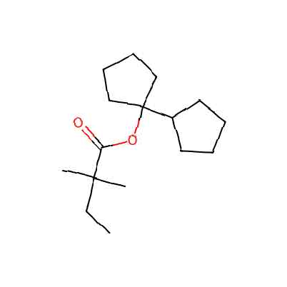 CCC(C)(C)C(=O)OC1(C2CCCC2)CCCC1